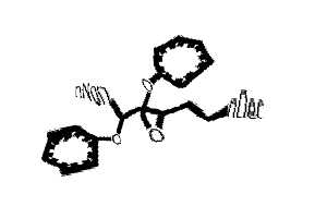 CCCCCCCCCCCCC1OC1(Oc1ccccc1)[C](CCCCCCCCC)Oc1ccccc1